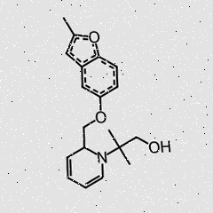 Cc1cc2cc(OCC3C=CC=CN3C(C)(C)CO)ccc2o1